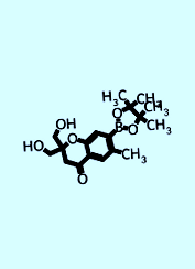 Cc1cc2c(cc1B1OC(C)(C)C(C)(C)O1)OC(CO)(CO)CC2=O